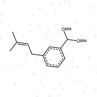 COC(OC)c1cccc(CC=C(C)C)c1